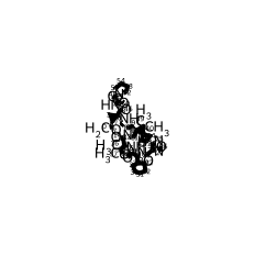 C=C[C@@H]1C[C@]1(NC(=O)[C@@H]1C[C@@]2(CN1C(=O)[C@@H](NC(=O)C(NC(=O)c1cnon1)C1CCCCC1)C(C)(C)C)C(C)(C)C21CCC1)C(=O)NS(=O)(=O)N1CCCC1